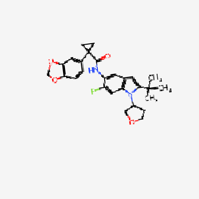 CC(C)(C)c1cc2cc(NC(=O)C3(c4ccc5c(c4)OCO5)CC3)c(F)cc2n1C1CCOC1